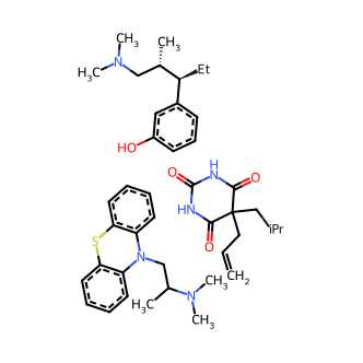 C=CCC1(CC(C)C)C(=O)NC(=O)NC1=O.CC(CN1c2ccccc2Sc2ccccc21)N(C)C.CC[C@@H](c1cccc(O)c1)[C@@H](C)CN(C)C